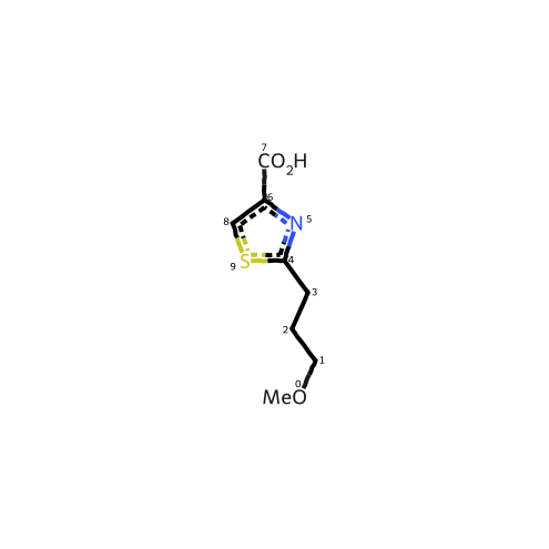 COCCCc1nc(C(=O)O)cs1